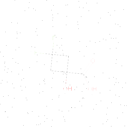 O=C(O)C1(O)CC(F)(F)C1